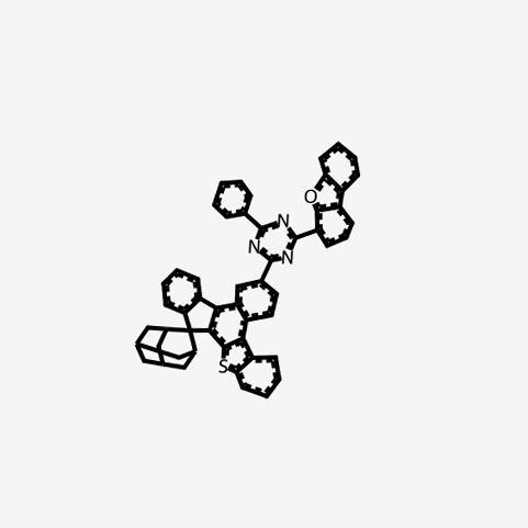 c1ccc(-c2nc(-c3ccc4c(c3)c3c(c5sc6ccccc6c54)C4(c5ccccc5-3)C3CC5CC(C3)CC4C5)nc(-c3cccc4c3oc3ccccc34)n2)cc1